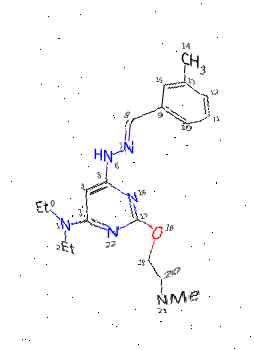 CCN(CC)c1cc(NN=Cc2cccc(C)c2)nc(OCCNC)n1